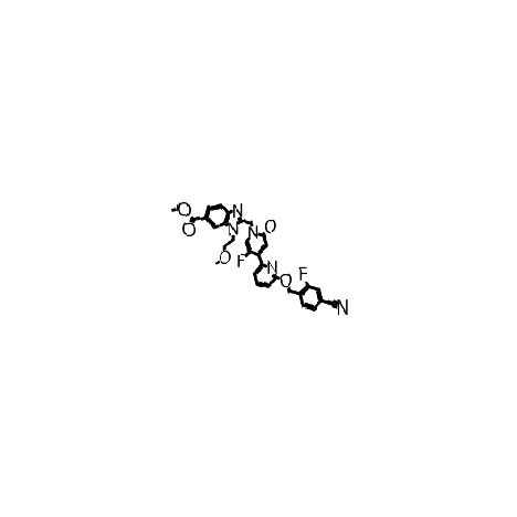 COCCn1c(Cn2cc(F)c(-c3cccc(OCc4ccc(C#N)cc4F)n3)cc2=O)nc2ccc(C(=O)OC)cc21